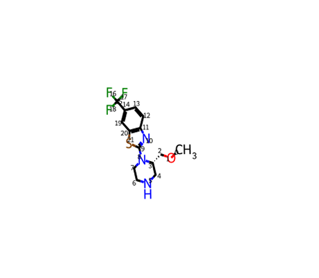 COC[C@@H]1CNCCN1c1nc2ccc(C(F)(F)F)cc2s1